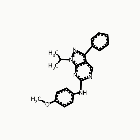 COc1ccc(Nc2ncc3c(-c4ccccc4)nn(C(C)C)c3n2)cc1